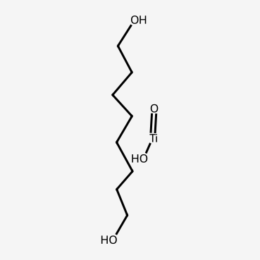 OCCCCCCCCO.[O]=[Ti][OH]